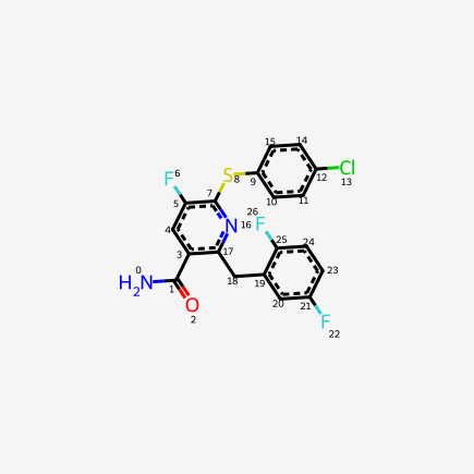 NC(=O)c1cc(F)c(Sc2ccc(Cl)cc2)nc1Cc1cc(F)ccc1F